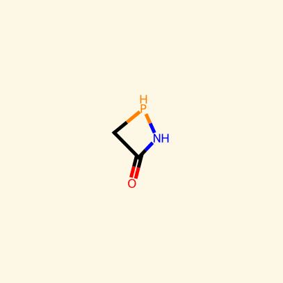 O=C1CPN1